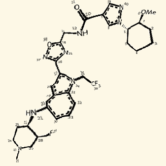 CO[C@H]1CCCC[C@@H]1n1cc(C(=O)NCc2nc(-c3cc4c(N[C@@H]5CCN(C)C[C@@H]5F)cccc4n3CC(F)(F)F)no2)cn1